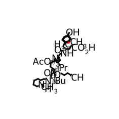 C#CCCCON(C(=O)[C@@H](NCC1CCCCN1C)[C@@H](C)CC)[C@H](C[C@@H](OC(C)=O)c1nc(C(=O)N[C@@H](Cc2ccc(O)cc2)CC(C)(C)C(=O)O)cs1)C(C)C